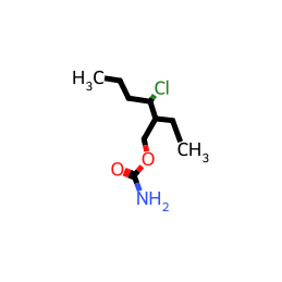 CCCC(Cl)C(CC)COC(N)=O